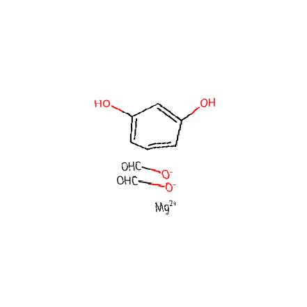 O=C[O-].O=C[O-].Oc1cccc(O)c1.[Mg+2]